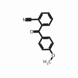 COc1ccc(C(=O)c2ccccc2C#N)cc1